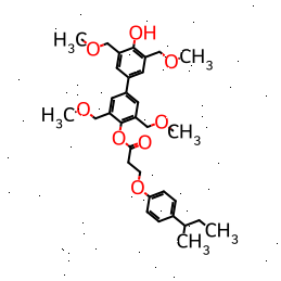 CCC(C)c1ccc(OCCC(=O)Oc2c(COC)cc(-c3cc(COC)c(O)c(COC)c3)cc2COC)cc1